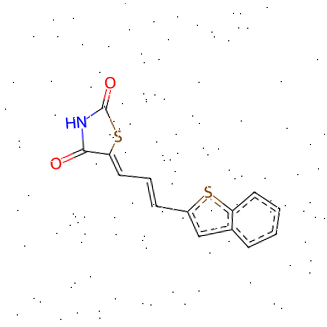 O=C1NC(=O)C(=CC=Cc2cc3ccccc3s2)S1